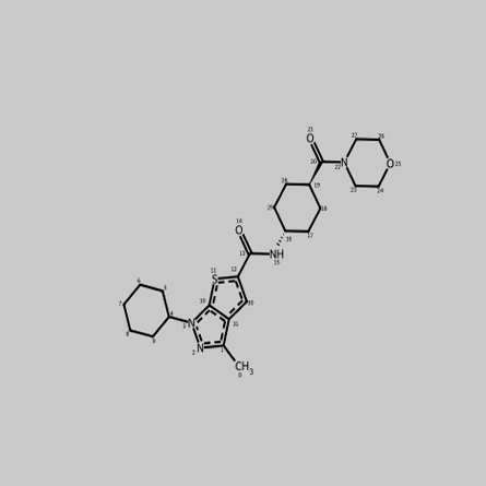 Cc1nn(C2CCCCC2)c2sc(C(=O)N[C@H]3CC[C@H](C(=O)N4CCOCC4)CC3)cc12